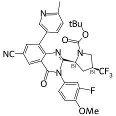 COc1ccc(-n2c([C@@H]3C[C@H](C(F)(F)F)CN3C(=O)OC(C)(C)C)nc3c(-c4ccc(C)nc4)cc(C#N)cc3c2=O)cc1F